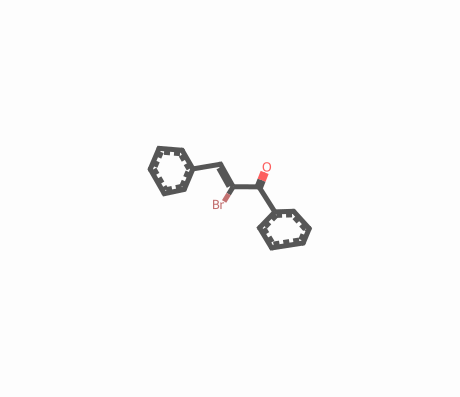 O=C(C(Br)=Cc1ccccc1)c1ccccc1